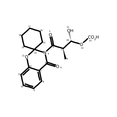 C[C@@H](C(=O)N1C(=O)c2ccccc2OC12CCCCC2)[C@H](O)OC(=O)O